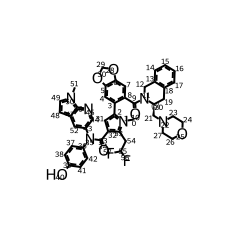 Cn1c(-c2cc3c(cc2C(=O)N2Cc4ccccc4C[C@H]2CN2CCOCC2)OCO3)cc(C(=O)N(c2ccc(O)cc2)c2cnc3c(ccn3C)c2)c1CC(F)F